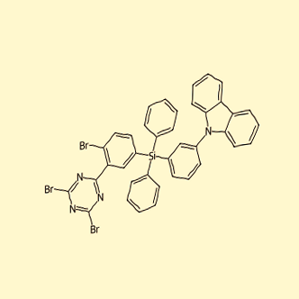 Brc1nc(Br)nc(-c2cc([Si](c3ccccc3)(c3ccccc3)c3cccc(-n4c5ccccc5c5ccccc54)c3)ccc2Br)n1